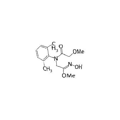 COCC(=O)N(CC(=NO)OC)c1c(C)cccc1C